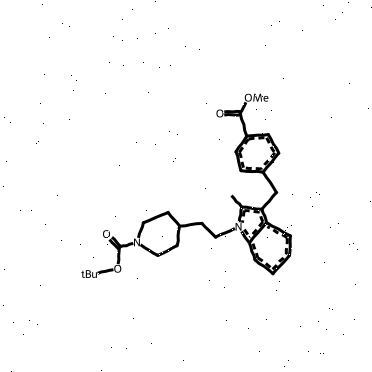 COC(=O)c1ccc(Cc2c(C)n(CCC3CCN(C(=O)OC(C)(C)C)CC3)c3ccccc23)cc1